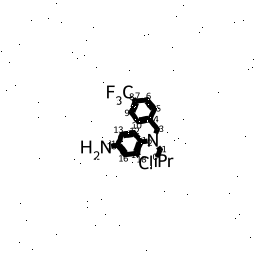 CC(C)CN(Cc1ccc(C(F)(F)F)cc1)c1ccc(N)cc1Cl